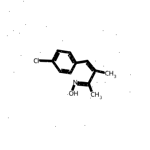 CC(=Cc1ccc(Cl)cc1)C(C)=NO